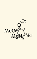 CCOc1cc(Br)ccc1OC.[MgH2]